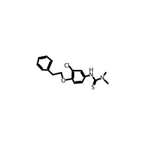 CN(C)C(=S)Nc1ccc(OCCc2ccccc2)c(Cl)c1